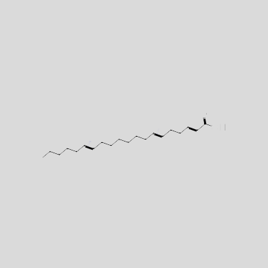 CCCCC/C=C/CCCCCC/C=C/CC/C=C/C(=O)O